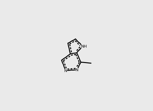 Cc1nncc2cc[nH]c12